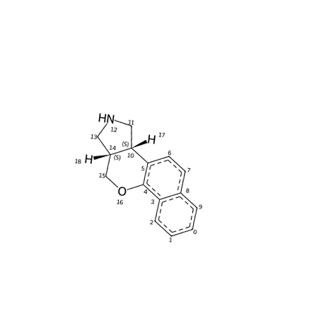 c1ccc2c3c(ccc2c1)[C@H]1CNC[C@H]1CO3